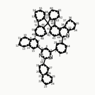 c1cc(-c2cc(-c3ccc4ccccc4c3)nc(-c3ccc4ccccc4c3)n2)cc(-c2nc3ccccc3c3c4c(ccc23)C2(c3ccccc3-c3ccccc32)c2ccccc2-4)c1